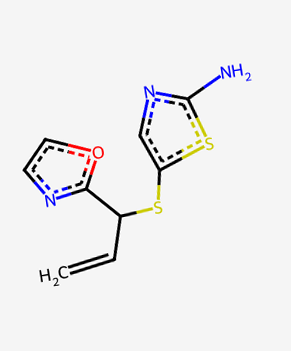 C=CC(Sc1cnc(N)s1)c1ncco1